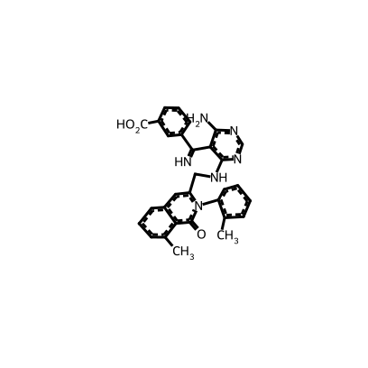 Cc1ccccc1-n1c(CNc2ncnc(N)c2C(=N)c2cccc(C(=O)O)c2)cc2cccc(C)c2c1=O